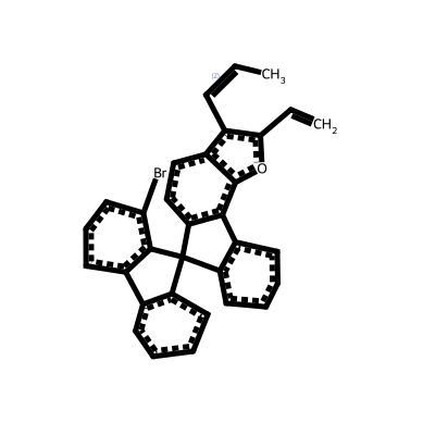 C=Cc1oc2c3c(ccc2c1/C=C\C)C1(c2ccccc2-c2cccc(Br)c21)c1ccccc1-3